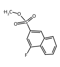 [CH2]OS(=O)(=O)c1cc(F)c2ccccc2c1